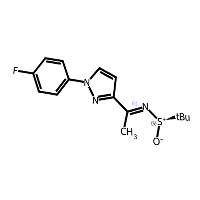 C/C(=N\[S@+]([O-])C(C)(C)C)c1ccn(-c2ccc(F)cc2)n1